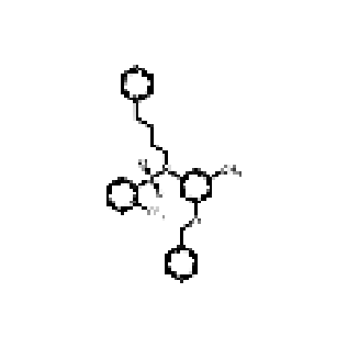 Cc1cc(OCc2ccccc2)cc(N(CCCCc2ccccc2)S(=O)(=O)c2ccccc2C(F)(F)F)c1